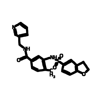 Cc1ccc(C(=O)NCc2cccnc2)cc1NS(=O)(=O)c1ccc2c(c1)CCO2